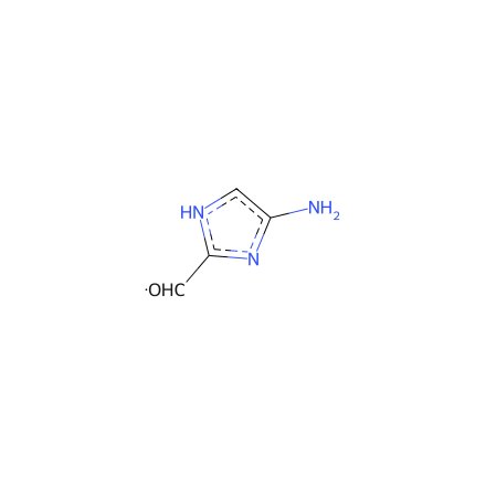 Nc1c[nH]c([C]=O)n1